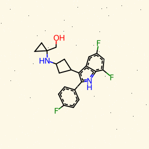 OCC1(NC2CC(c3c(-c4ccc(F)cc4)[nH]c4c(F)cc(F)cc34)C2)CC1